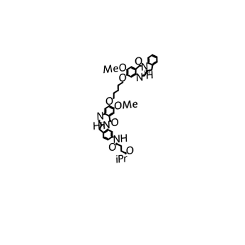 COc1cc2c(cc1OCCCCCOc1cc3c(cc1OC)C(=O)N1c4cc(NC(=O)CCC(=O)C(C)C)ccc4C[C@H]1C=N3)N=C[C@@H]1Cc3ccccc3N1C2=O